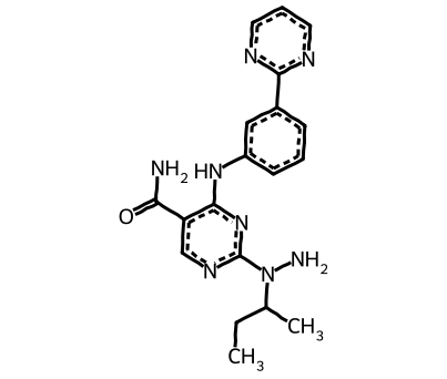 CCC(C)N(N)c1ncc(C(N)=O)c(Nc2cccc(-c3ncccn3)c2)n1